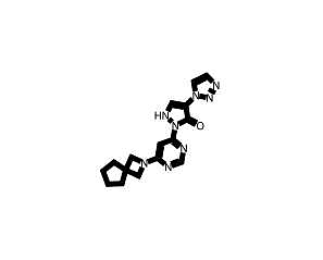 O=c1c(-n2ccnn2)c[nH]n1-c1cc(N2CC3(CCCC3)C2)ncn1